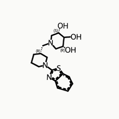 OC1[C@H](O)CN(C[C@H]2CCCN(c3nc4ccccc4s3)C2)C[C@@H]1O